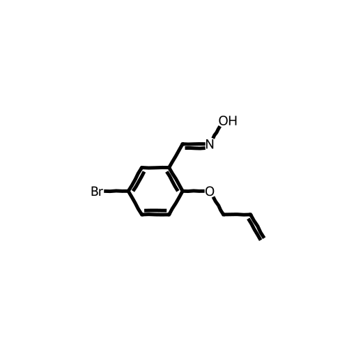 C=CCOc1ccc(Br)cc1C=NO